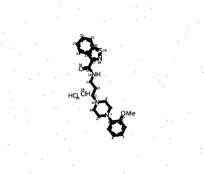 COc1ccccc1N1CCN(CCCNC(=O)c2nsc3ccccc23)CC1.Cl.Cl